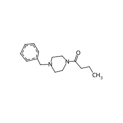 CCCC(=O)N1CCN(Cc2ccccc2)CC1